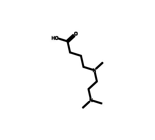 CN(C)CCN(C)CCCC(=O)O